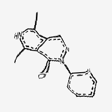 Cc1[nH]c(C)c2c(=O)n(-c3ccccn3)ncc12